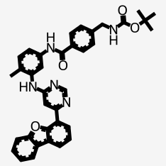 Cc1ccc(NC(=O)c2ccc(CNC(=O)OC(C)(C)C)cc2)cc1Nc1cc(-c2cccc3c2oc2ccccc23)ncn1